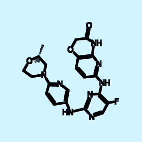 C[C@@H]1CN(c2ccc(Nc3ncc(F)c(Nc4ccc5c(n4)NC(=O)CO5)n3)cn2)CCO1